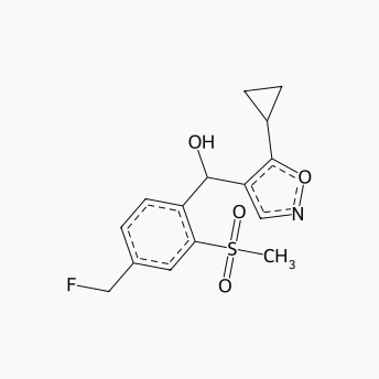 CS(=O)(=O)c1cc(CF)ccc1C(O)c1cnoc1C1CC1